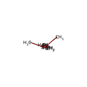 CCCCCCCCCCCCCCCCCCSc1sc([Te]c2sc(SCCCCCCCCCCCCCCCCCC)c(OC)c2OC)c(OC)c1OC